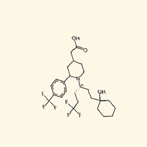 O=C(O)CC1CCN([C@@H](CCC(F)(F)F)CCC2(O)CCCCC2)C(c2ccc(C(F)(F)F)cc2)C1